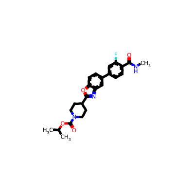 CNC(=O)c1ccc(-c2ccc3oc(C4CCN(C(=O)OC(C)C)CC4)nc3c2)cc1F